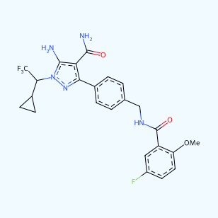 COc1ccc(F)cc1C(=O)NCc1ccc(-c2nn(C(C3CC3)C(F)(F)F)c(N)c2C(N)=O)cc1